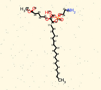 CCCCCCCCCCCCCCCCCC[C@@H](OP(=O)(O)OCCN)[C@H](CO)OCCCCC(=O)OC